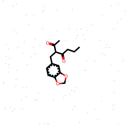 CCCC(=O)C(Cc1ccc2c(c1)OCO2)C(C)=O